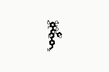 COc1cc(OC)c(F)c(-c2cc3cnc(-c4ccc(CC#N)cc4)cc3n([C@H]3CCOC3)c2=O)c1F